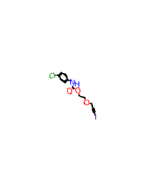 O=C(Nc1ccc(Cl)cc1)OCCOCC#CI